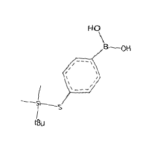 CC(C)(C)[Si](C)(C)Sc1ccc(B(O)O)cc1